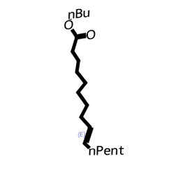 CCCCC/C=C/CCCCCCCC(=O)OCCCC